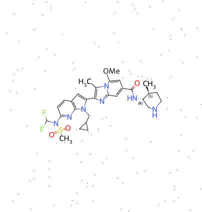 COc1cc(C(=O)N[C@H]2CNCC[C@@H]2C)cc2nc(-c3cc4ccc(N(C(F)F)S(C)(=O)=O)nc4n3CC3CC3)c(C)n12